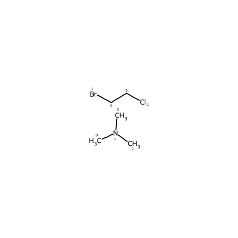 CN(C)C.ClCCBr